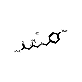 COC(=O)C[C@@H](N)CSCc1ccc(OC)cc1.Cl